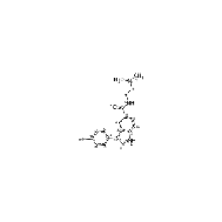 CN(C)CCNC(=O)c1ccc2[nH]nc(-c3ccc(F)cc3)c2c1